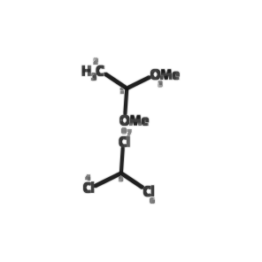 COC(C)OC.ClC(Cl)Cl